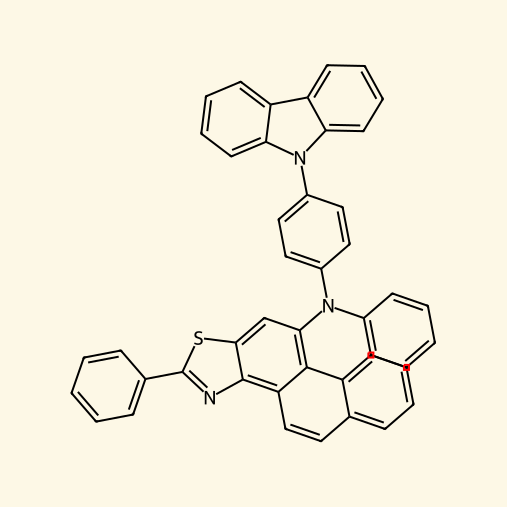 c1ccc(-c2nc3c(cc(N(c4ccccc4)c4ccc(-n5c6ccccc6c6ccccc65)cc4)c4c5ccccc5ccc34)s2)cc1